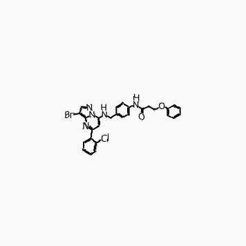 O=C(CCOc1ccccc1)Nc1ccc(CNc2cc(-c3ccccc3Cl)nc3c(Br)cnn23)cc1